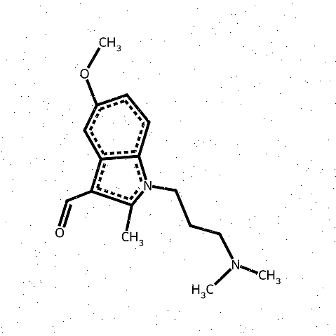 COc1ccc2c(c1)c(C=O)c(C)n2CCCN(C)C